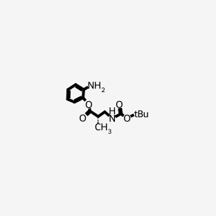 C[C@@H](CNC(=O)OC(C)(C)C)C(=O)Oc1ccccc1N